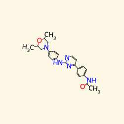 CC(=O)Nc1ccc(-c2ccnc(Nc3ccc(N4CC(C)OC(C)C4)cc3)n2)cc1